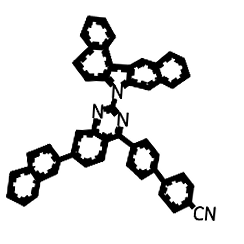 N#Cc1ccc(-c2ccc(-c3nc(-n4c5cc6ccccc6cc5c5c6ccccc6ccc54)nc4cc(-c5ccc6ccccc6c5)ccc34)cc2)cc1